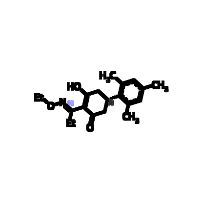 CCO/N=C(\CC)C1=C(O)C[C@H](c2c(C)cc(C)cc2C)CC1=O